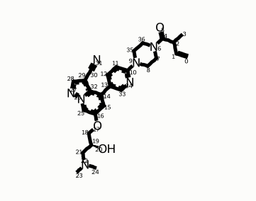 C=CC(C)C(=O)N1CCN(c2ccc(-c3cc(OC[C@@H](O)CN(C)C)cn4ncc(C#N)c34)cn2)CC1